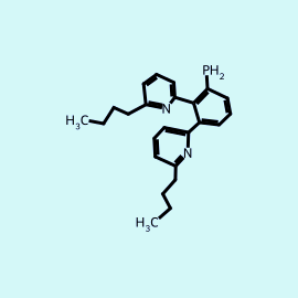 CCCCc1cccc(-c2cccc(P)c2-c2cccc(CCCC)n2)n1